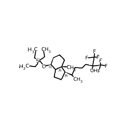 CC[Si](CC)(CC)O[C@H]1CCC[C@@]2(C)C1CC[C@@H]2C(C)CCCC(O)(C(F)(F)F)C(F)(F)F